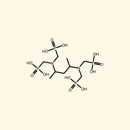 CC(CC(C)N(CP(=O)(O)O)CP(=O)(O)O)N(CP(=O)(O)O)CP(=O)(O)O